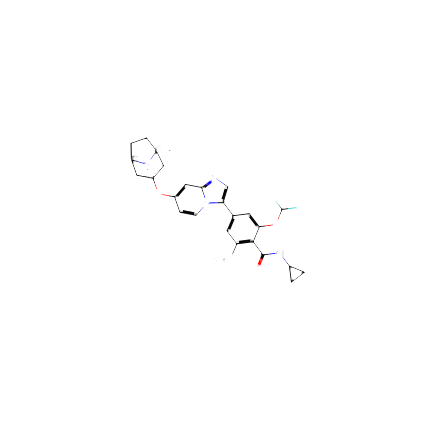 CCN1[C@@H]2CC[C@H]1CC(Oc1ccn3c(-c4cc(OC)c(C(=O)NC5CC5)c(OC(F)F)c4)cnc3c1)C2